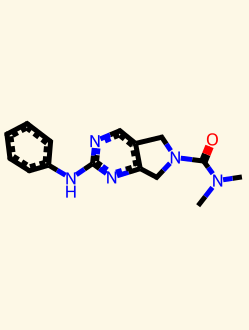 CN(C)C(=O)N1Cc2cnc(Nc3ccccc3)nc2C1